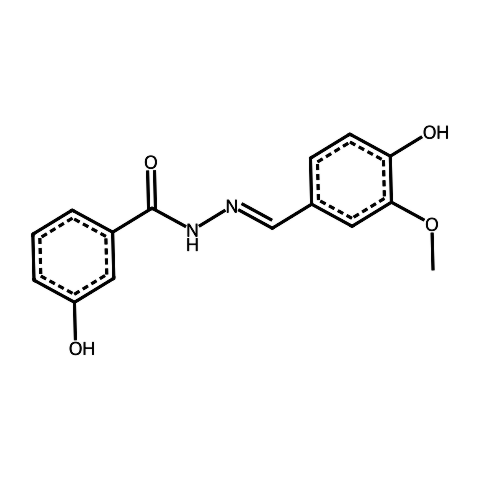 COc1cc(C=NNC(=O)c2cccc(O)c2)ccc1O